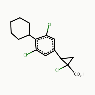 O=C(O)C1(Cl)CC1c1cc(Cl)c(C2CCCCC2)c(Cl)c1